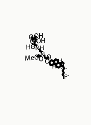 COCC(=O)N(CCCNC[C@H](O)[C@H]1OC(=O)C(O)=C1O)CCC(=O)OC1CC[C@@]2(C)C(=CC[C@H]3[C@@H]4CC[C@H]([C@H](C)CCCC(C)C)[C@@]4(C)CC[C@@H]32)C1